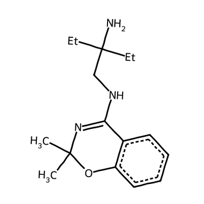 CCC(N)(CC)CNC1=NC(C)(C)Oc2ccccc21